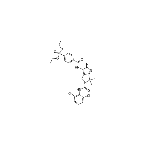 CCOP(=O)(OCC)c1ccc(C(=O)Nc2[nH]nc3c2CN(C(=O)Nc2c(Cl)cccc2Cl)C3(C)C)cc1